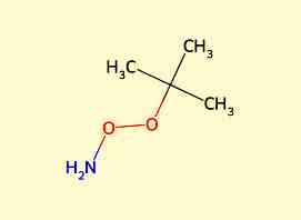 CC(C)(C)OON